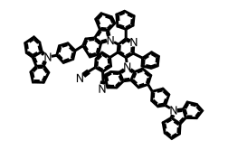 N#Cc1ccc(-c2c(-n3c4ccccc4c4cc(-c5ccc(-n6c7ccccc7c7ccccc76)cc5)ccc43)c(-c3ccccc3)nc(-c3ccccc3)c2-n2c3ccccc3c3cc(-c4ccc(-n5c6ccccc6c6ccccc65)cc4)ccc32)cc1C#N